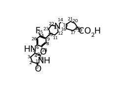 O=C1CCC(Nc2ccc(C3CCN(C[C@H]4CC[C@H](C(=O)O)CC4)CC3)c(F)c2)C(=O)N1